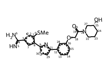 CSc1sc(C(=N)N)cc1-c1nc(-c2cccc(OCC(=O)N3CCC[C@@H](O)C3)c2)cs1